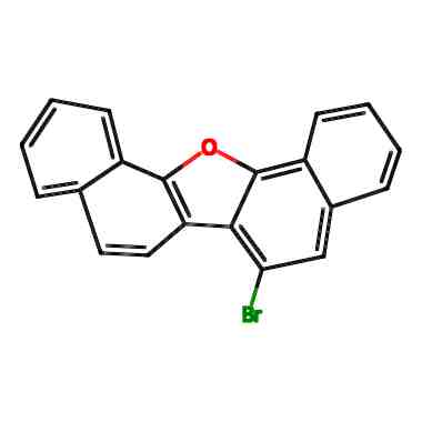 Brc1cc2ccccc2c2oc3c4ccccc4ccc3c12